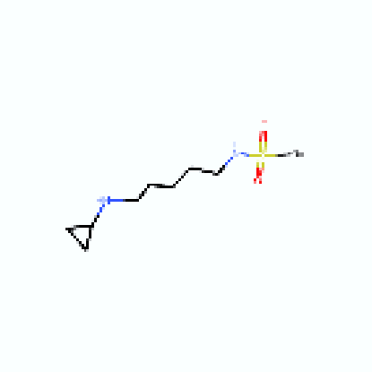 CC(C)(C)S(=O)(=O)NCCCCCNC1CC1